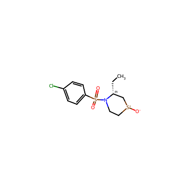 CC[C@@H]1C[S+]([O-])CCN1S(=O)(=O)c1ccc(Cl)cc1